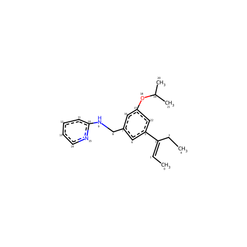 C/C=C(\CC)c1cc(CNc2ccccn2)cc(OC(C)C)c1